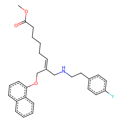 COC(=O)CCCC/C=C(/CNCCc1ccc(F)cc1)COc1cccc2ccccc12